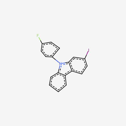 Fc1ccc(-n2c3ccccc3c3ccc(I)cc32)cc1